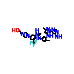 C=C(Nc1cc(N2CCN(CCO)CC2)cc(C(F)(F)F)c1)Nc1ccc(C)c(Nc2cc(C)nn2-c2cc(NC)ncn2)c1